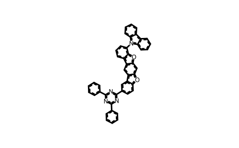 c1ccc(-c2nc(-c3ccccc3)nc(-c3ccc4oc5cc6oc7c(-n8c9ccccc9c9ccccc98)cccc7c6cc5c4c3)n2)cc1